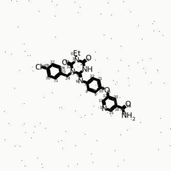 CCn1c(=O)[nH]/c(=N\c2ccc(Oc3cncc(C(N)=O)c3)cc2)n(Cc2ccc(Cl)cc2)c1=O